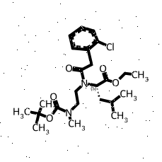 CCOC(=O)[C@H](CC(C)C)N(CCN(C)C(=O)OC(C)(C)C)C(=O)Cc1ccccc1Cl